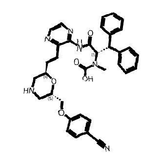 CN(C(=O)O)[C@H](C(=O)Nc1nccnc1CC[C@@H]1CNC[C@@H](COc2ccc(C#N)cc2)O1)C(c1ccccc1)c1ccccc1